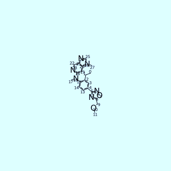 CCc1cc(-c2noc(COC)n2)ccc1N(C)c1cc2c(cn1)ncn2C